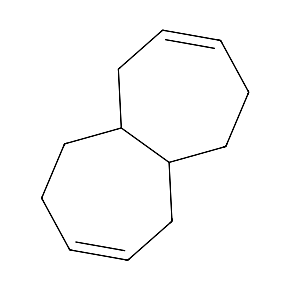 C1=CCC2CCC=CCC2CC1